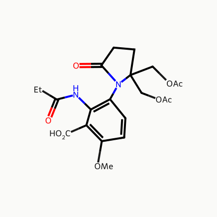 CCC(=O)Nc1c(N2C(=O)CCC2(COC(C)=O)COC(C)=O)ccc(OC)c1C(=O)O